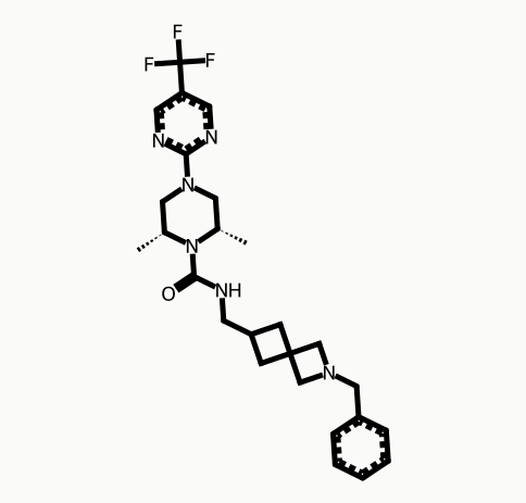 C[C@@H]1CN(c2ncc(C(F)(F)F)cn2)C[C@H](C)N1C(=O)NCC1CC2(C1)CN(Cc1ccccc1)C2